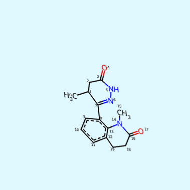 CC1CC(=O)NN=C1c1cccc2c1N(C)C(=O)CC2